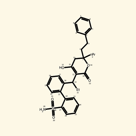 CCCC1(CCc2ccccc2)CC(O)=C(C(CC)c2ccccc2-c2ccccc2S(N)(=O)=O)C(=O)O1